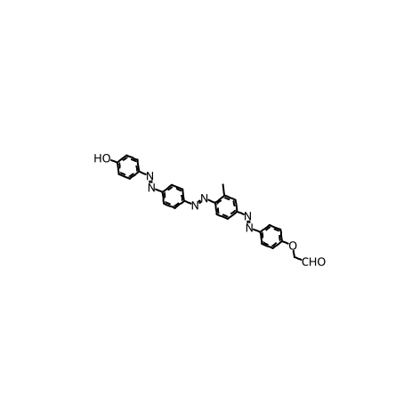 Cc1cc(N=Nc2ccc(OCC=O)cc2)ccc1N=Nc1ccc(N=Nc2ccc(O)cc2)cc1